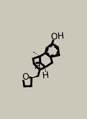 C[C@H]1[C@H]2Cc3ccc(O)cc3[C@]1(C)CCC2C[C@H]1CCCO1